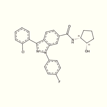 O=C(N[C@@H]1CCC[C@@H]1O)c1ccc2c(-c3ccccc3Cl)nn(-c3ccc(F)cc3)c2c1